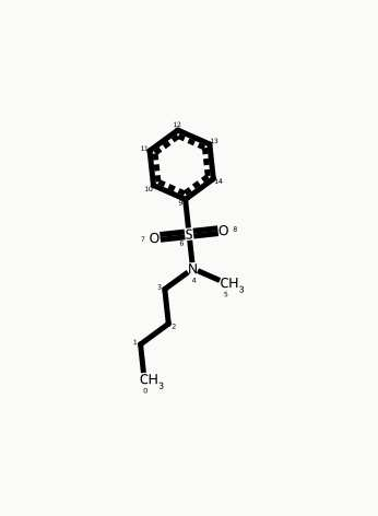 CCCCN(C)S(=O)(=O)c1cc[c]cc1